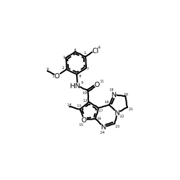 COc1ccc(Cl)cc1NC(=O)c1c(C)oc2c1C1=NCCN1C=N2